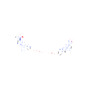 CC(Nc1nccc(N2C(=O)OCC2C(C)C)n1)c1ccc(OCCOCCOCCOCCOc2ccc([C@H](C)Nc3nccc(N4CCOC4=O)n3)nc2)cn1